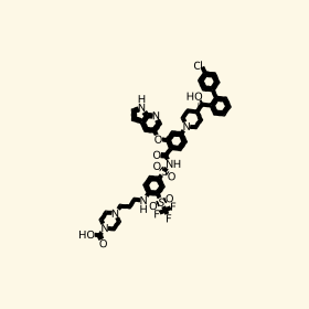 O=C(NS(=O)(=O)c1ccc(NCCCN2CCN(C(=O)O)CC2)c(S(=O)(=O)C(F)(F)F)c1)c1ccc(N2CCC([C@@H](O)c3ccccc3-c3ccc(Cl)cc3)CC2)cc1Oc1cnc2[nH]ccc2c1